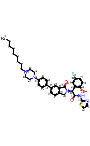 CC(C)(C)CCCCCCCCN1CCN(c2ccc(-c3ccc4c(c3)C(=O)N(C(C(=O)Nc3nccs3)c3cc(F)ccc3O)C4)cc2)CC1